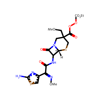 CCOC(=O)OOC(=O)C1(COC)CS[C@@H]2C(NC(=O)C(=NOC)c3csc(N)n3)C(=O)N2C1